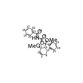 COC1C#CCCC1C(OC)(OC(=O)NC(=O)c1ccccc1)c1ccccc1